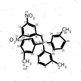 Cc1cccc([P+](Cc2cc([N+](=O)[O-])cc([N+](=O)[O-])c2)(c2cccc(C)c2)c2cccc(C)c2)c1.[I-]